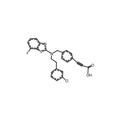 O=C(O)C#Cc1ccc(CN(CCc2cccc(Cl)c2)c2nc3cccc(F)c3s2)cc1